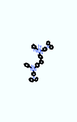 C1=CC(c2nc(-c3ccc(-n4c5ccccc5c5ccccc54)cc3)nc(C3C=CC(c4cccc(-c5ccc(C6N=C(c7ccc(-n8c9ccccc9c9ccccc98)cc7)NC(c7ccccc7)N6)cc5)c4)=CC3)n2)=CCC1